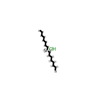 CCCCCCC[CH2][Sn][CH2]CCCCCCC.Cl